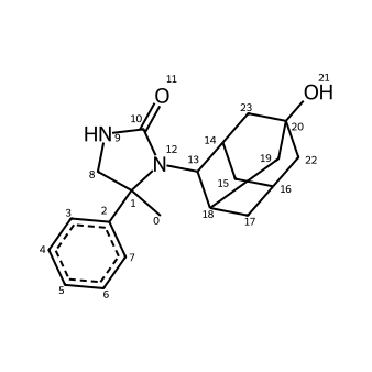 CC1(c2ccccc2)CNC(=O)N1C1C2CC3CC1CC(O)(C3)C2